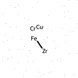 [Cr].[Cu].[Fe][Zr]